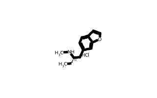 CC[C@@H](Cc1ccc2ccoc2c1)NC.Cl